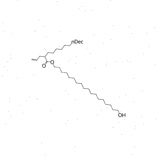 C=CCC(CCCCCCCCCCCCCCCC)C(=O)OCCCCCCCCCCCCCCCCCCO